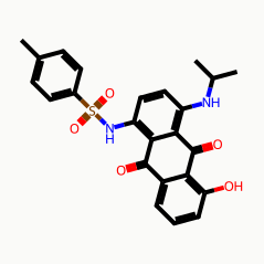 Cc1ccc(S(=O)(=O)Nc2ccc(NC(C)C)c3c2C(=O)c2cccc(O)c2C3=O)cc1